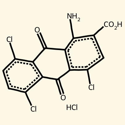 Cl.Nc1c(C(=O)O)cc(Cl)c2c1C(=O)c1c(Cl)ccc(Cl)c1C2=O